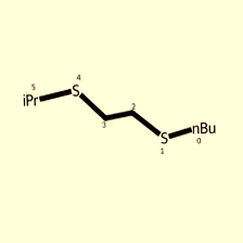 CCCCSCCSC(C)C